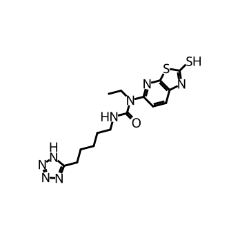 CCN(C(=O)NCCCCCc1nnn[nH]1)c1ccc2nc(S)sc2n1